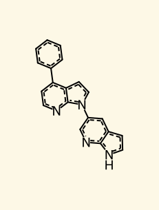 c1ccc(-c2ccnc3c2ccn3-c2cnc3[nH]ccc3c2)cc1